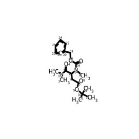 CN(C)C(=O)C(CC(=O)OC(C)(C)C)N(C)C(=O)OCc1ccccc1